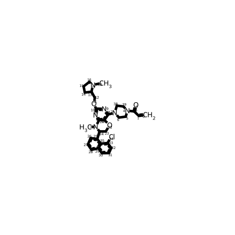 C=CC(=O)N1CCN(c2nc(OCC3CCCN3C)nc3c2OCC(c2cccc4cccc(Cl)c24)N3C)CC1